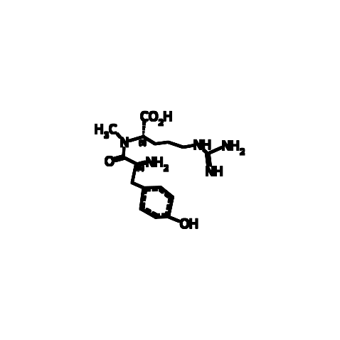 CN(C(=O)[C@@H](N)Cc1ccc(O)cc1)[C@@H](CCCNC(=N)N)C(=O)O